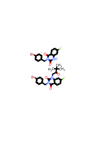 CC(C)(C)C(=O)Cn1c(=O)n(Cc2ccc(Br)cc2)c(=O)c2ccc(F)cc21.O=c1[nH]c2cc(F)ccc2c(=O)n1Cc1ccc(Br)cc1